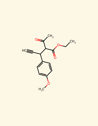 C#CC(c1ccc(OC)cc1)C(C(C)=O)C(=O)OCC